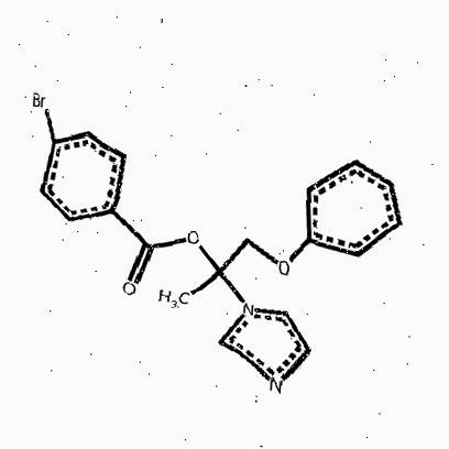 CC(COc1ccccc1)(OC(=O)c1ccc(Br)cc1)n1ccnc1